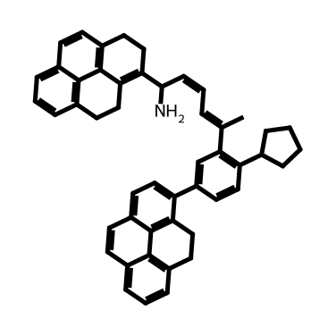 C/C(=C\C=C/C(N)C1=C2CCc3cccc4ccc(c2c34)CC1)c1cc(-c2ccc3ccc4cccc5c4c3c2CC5)ccc1C1CCCC1